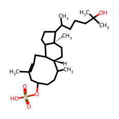 C/C1=C\CC2C3CCC(C(C)CCCC(C)(C)O)[C@@]3(C)CC[C@@H]2C(C)CCC(OS(=O)(=O)O)C1